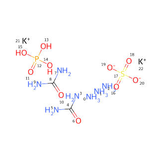 N.N.N.NC(N)=O.NC(N)=O.O=P(O)(O)O.O=S(=O)([O-])[O-].[K+].[K+]